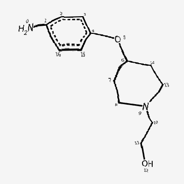 Nc1ccc(OC2CCN(CCO)CC2)cc1